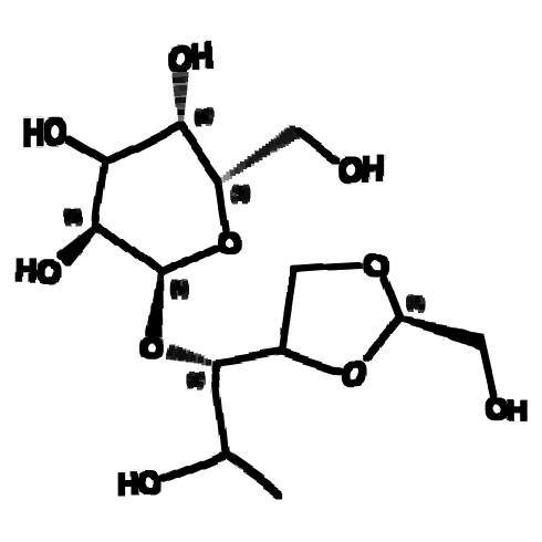 CC(O)[C@H](O[C@@H]1O[C@@H](CO)[C@@H](O)C(O)[C@@H]1O)C1CO[C@@H](CO)O1